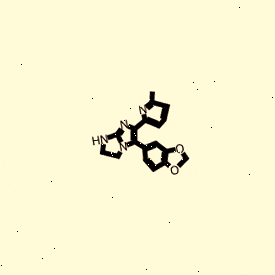 Cc1cccc(-c2nc3n(c2-c2ccc4c(c2)OCO4)CCN3)n1